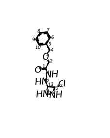 O=C(COCc1ccccc1)NNC1NN[C@H]1Cl